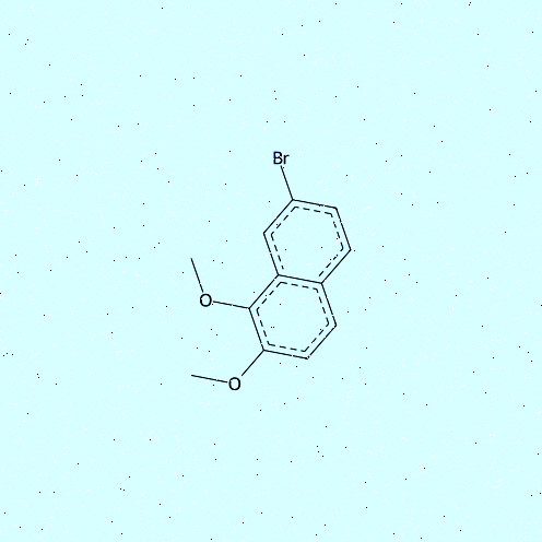 COc1ccc2ccc(Br)cc2c1OC